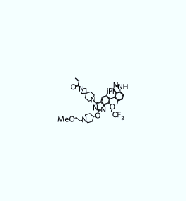 C=CC(=O)N1CC2(CCN(c3nc(OC4CCN(CCOC)CC4)nc4c(OCC(F)(F)F)c(-c5c(C)ccc6[nH]ncc56)c(C(C)C)cc34)CC2)C1